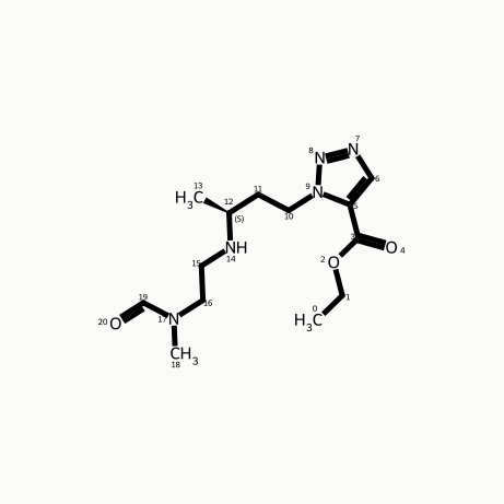 CCOC(=O)c1cnnn1CC[C@H](C)NCCN(C)C=O